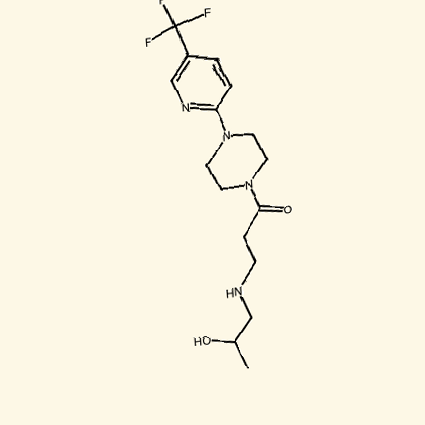 CC(O)CNCCC(=O)N1CCN(c2ccc(C(F)(F)F)cn2)CC1